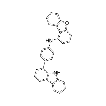 c1ccc2c(c1)[nH]c1c(-c3ccc(Nc4cccc5oc6ccccc6c45)cc3)cccc12